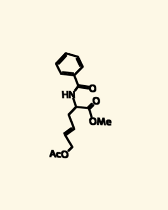 COC(=O)C(CC=CCOC(C)=O)NC(=O)c1ccccc1